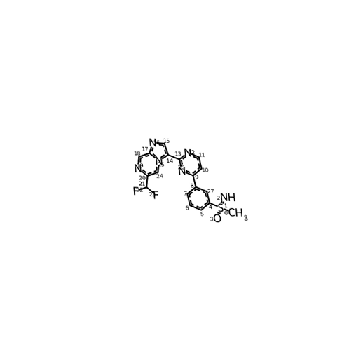 CS(=N)(=O)c1cccc(-c2ccnc(-c3cnc4cnc(C(F)F)cn34)n2)c1